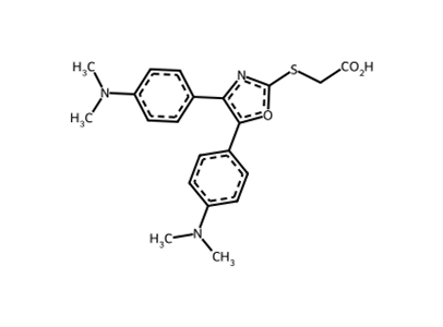 CN(C)c1ccc(-c2nc(SCC(=O)O)oc2-c2ccc(N(C)C)cc2)cc1